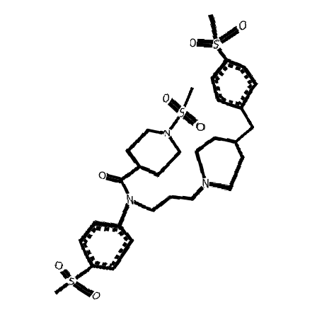 CS(=O)(=O)c1ccc(CC2CCN(CCCN(C(=O)C3CCN(S(C)(=O)=O)CC3)c3ccc(S(C)(=O)=O)cc3)CC2)cc1